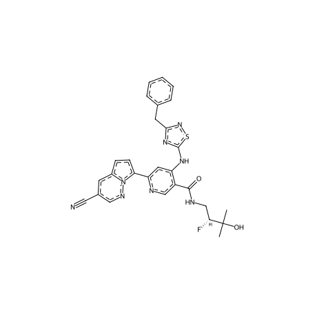 CC(C)(O)[C@H](F)CNC(=O)c1cnc(-c2ccc3cc(C#N)cnn23)cc1Nc1nc(Cc2ccccc2)ns1